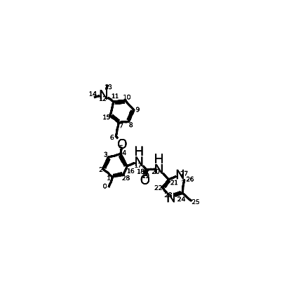 Cc1ccc(OCc2cccc(N(C)C)c2)c(NC(=O)Nc2cnc(C)cn2)c1